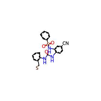 N#Cc1ccc(NC(=O)Nc2ccccc2C=S)c(NS(=O)(=O)c2ccccc2)c1